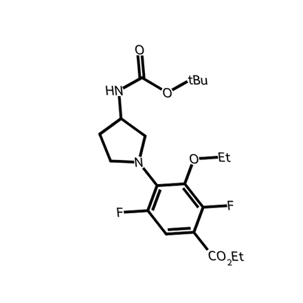 CCOC(=O)c1cc(F)c(N2CCC(NC(=O)OC(C)(C)C)C2)c(OCC)c1F